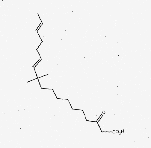 CC=CCCC=CC(C)(C)CCCCCCCC(=O)CC(=O)O